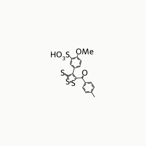 COc1ccc(-c2c(C(=O)c3ccc(C)cc3)ssc2=S)cc1S(=O)(=O)O